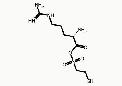 N=C(N)NCCC[C@H](N)C(=O)OS(=O)(=O)CCS